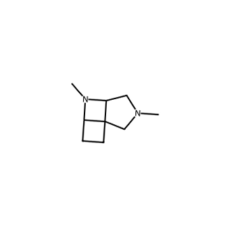 CN1CC2N(C)C3CCC32C1